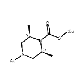 CC(=O)N1C[C@@H](C)N(C(=O)OC(C)(C)C)[C@@H](C)C1